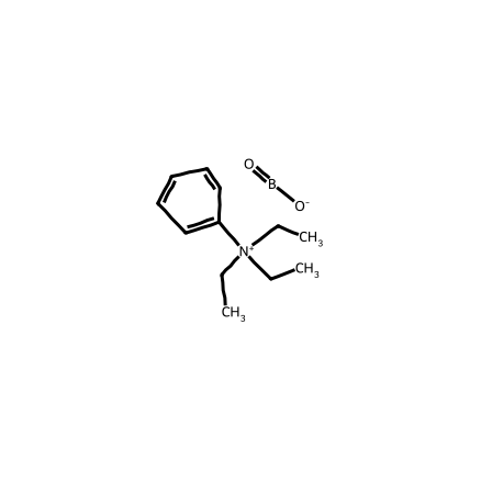 CC[N+](CC)(CC)c1ccccc1.O=B[O-]